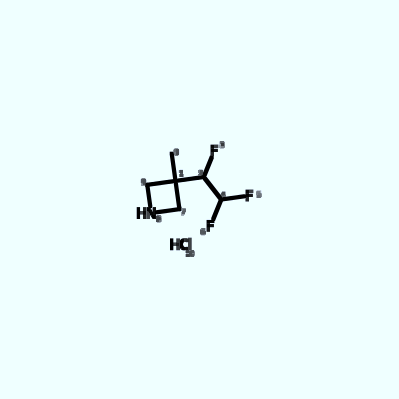 CC1(C(F)C(F)F)CNC1.Cl